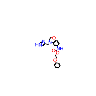 O=C(Nc1ccc2c(c1)N(Cc1c[nH]cn1)CCO2)OCCOc1ccccc1